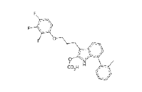 Cc1ccccc1-c1cccc2c(CCCOc3ccc(F)c(F)c3F)c(OC(=O)O)[nH]c12